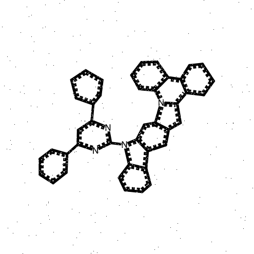 c1ccc(-c2cc(-c3ccccc3)nc(-n3c4ccccc4c4cc5cc6c7ccccc7c7ccccc7n6c5cc43)n2)cc1